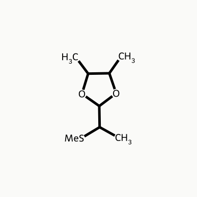 CSC(C)C1OC(C)C(C)O1